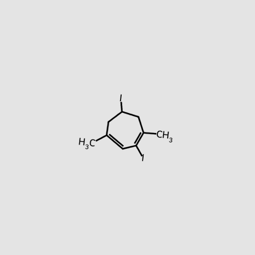 CC1=CC(I)=C(C)CC(I)C1